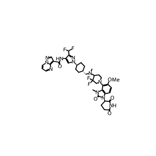 COc1ccc2c(c1N1CCC(N(C)C[C@H]3CC[C@H](n4cc(NC(=O)c5cnn6cccnc56)c(C(F)F)n4)CC3)C(F)(F)C1)n(C)c(=O)n2C1CCC(=O)NC1=O